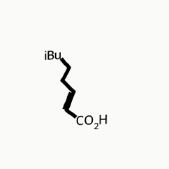 CCC(C)CCC=CC(=O)O